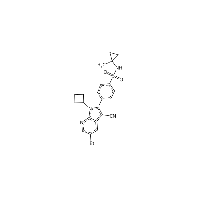 CCc1cnc2c(c1)c(C#N)c(-c1ccc(S(=O)(=O)NC3(C)CC3)cc1)n2C1CCC1